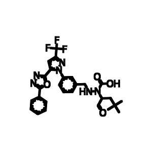 CC(C)(C)CC(C=O)N(NCc1cccc(-n2nc(C(F)(F)F)cc2-c2nnc(-c3ccccc3)o2)c1)C(=O)O